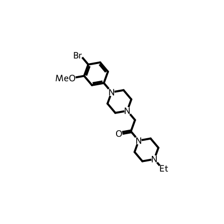 CCN1CCN(C(=O)CN2CCN(c3ccc(Br)c(OC)c3)CC2)CC1